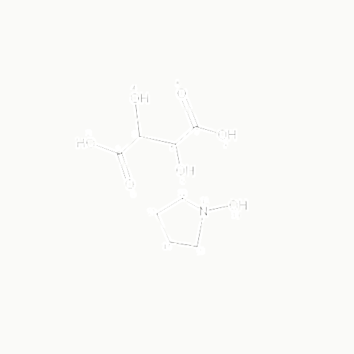 O=C(O)C(O)C(O)C(=O)O.ON1CCCC1